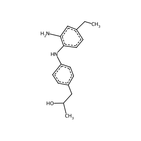 CCc1ccc(Nc2ccc(CC(C)O)cc2)c(N)c1